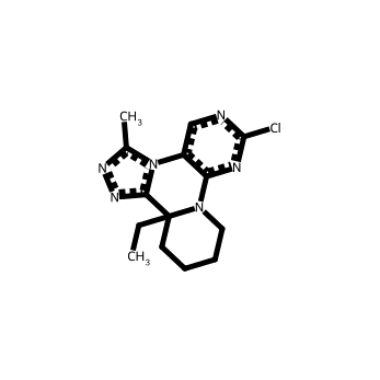 CCC12CCCCN1c1nc(Cl)ncc1-n1c(C)nnc12